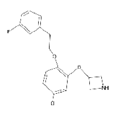 Fc1cccc(CCOc2ccc(Cl)cc2OC2CNC2)c1